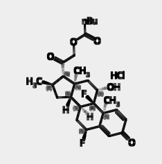 CCCCC(=O)OCC(=O)[C@H]1[C@H](C)C[C@H]2[C@@H]3C[C@H](F)C4=CC(=O)C=C[C@]4(C)[C@@]3(F)[C@@H](O)C[C@@]21C.Cl